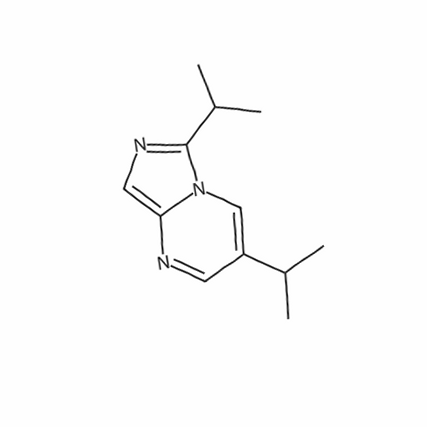 CC(C)c1cnc2cnc(C(C)C)n2c1